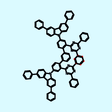 c1ccc(-c2ccc3c(c2)c2cc(-c4ccccc4)ccc2n3-c2ccc(-c3cccc(-c4ccc(-n5c6ccc(-c7ccccc7)cc6c6cc(-c7ccccc7)ccc65)cc4-c4nc(-c5ccccc5)nc(-c5ccccc5)n4)c3)c(-c3nc(-c4ccccc4)nc(-c4ccccc4)n3)c2)cc1